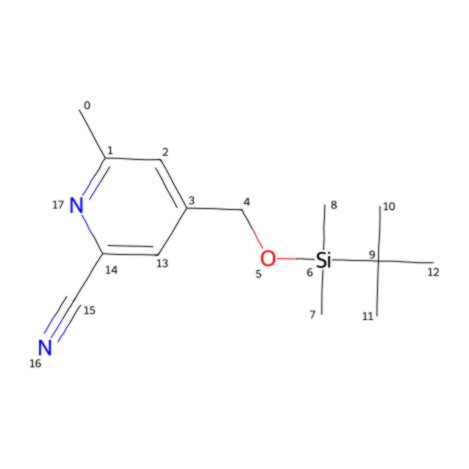 Cc1cc(CO[Si](C)(C)C(C)(C)C)cc(C#N)n1